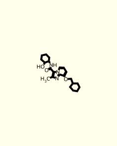 Cc1nc2c(OCC3CCCCC3)cccn2c1C(=O)NC1CCCCC1O